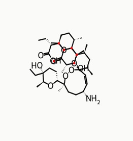 CCC(C[C@@H]1O[C@]2(/C=C\[C@H](N)CC[C@@](C)([C@H]3CC[C@](O)(CC)[C@H](C)O3)OO2)[C@H](C)C[C@@H]1C)C(=O)[C@@H](C)[C@@H](O)[C@H](C)[C@@H]1O[C@@H]([C@@H](CC)C(=O)O)CC[C@@H]1C